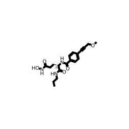 CCCNC(=O)[C@H](CCC(=O)NO)NC(=O)c1ccc(C#CCOC)cc1